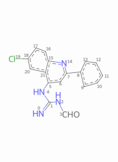 N=C(NC=O)Nc1cc(-c2ccccc2)nc2ccc(Cl)cc12